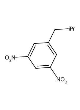 CC(C)Cc1cc([N+](=O)[O-])cc([N+](=O)[O-])c1